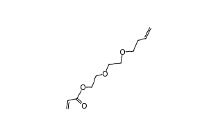 C=CCCOCCOCCOC(=O)C=C